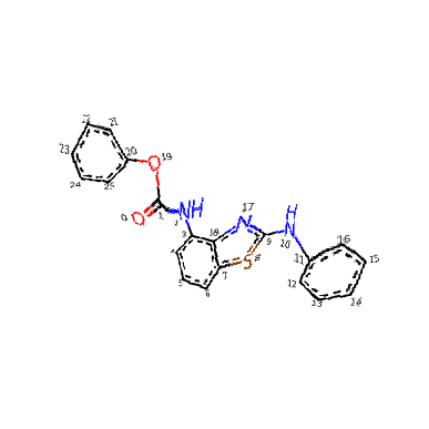 O=C(Nc1cccc2sc(Nc3ccccc3)nc12)Oc1ccccc1